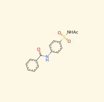 CC(=O)NS(=O)(=O)c1ccc(NC(=O)c2ccccc2)cc1